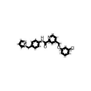 O=C(Nc1ccc(Cn2cccn2)cc1)c1cc(COc2cccc(Cl)c2)ccn1